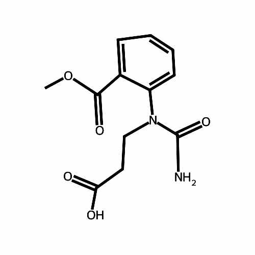 COC(=O)c1ccccc1N(CCC(=O)O)C(N)=O